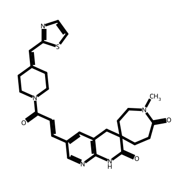 CN1CCC2(CCC1=O)Cc1cc(C=CC(=O)N3CCC(=Cc4nccs4)CC3)cnc1NC2=O